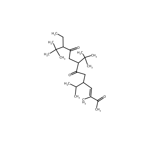 CCC(C(=O)CC(C(=O)CC(/C=C(\C)C(C)=O)C(C)C)C(C)(C)C)C(C)(C)C